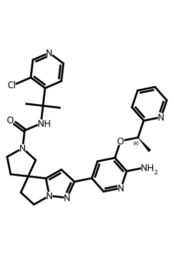 C[C@@H](Oc1cc(-c2cc3n(n2)CCC32CCN(C(=O)NC(C)(C)c3ccncc3Cl)C2)cnc1N)c1ccccn1